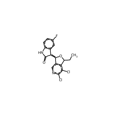 CCC1OC(=C2C(=O)Nc3ccc(F)cc32)c2cnc(Cl)c(Cl)c21